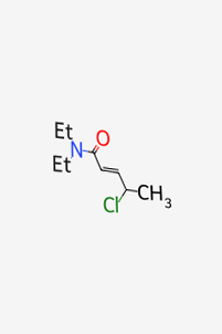 CCN(CC)C(=O)C=CC(C)Cl